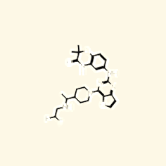 CC(NCC(F)F)C1CCN(c2nc(Nc3ccc4c(c3)NC(=O)C(C)(C)O4)nc3ccoc23)CC1